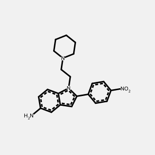 Nc1ccc2c(c1)cc(-c1ccc([N+](=O)[O-])cc1)n2CCN1CCCCC1